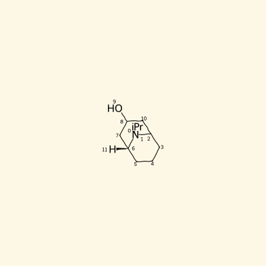 CC(C)N1C2CCC[C@@H]1CC(O)C2